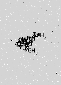 C=CC(=O)N1CCN2C(=O)c3c(CN4CCC4C)nc(-c4c(O)cccc4F)c(Cl)c3OCC2C1